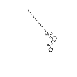 CCCCCCCCCCCCCCCCCNC(=O)O[C@H]1CCCO[C@H]1COC(=O)c1ccccc1